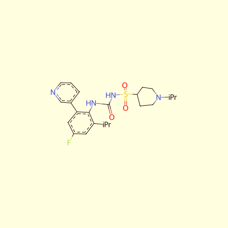 CC(C)c1cc(F)cc(-c2cccnc2)c1NC(=O)NS(=O)(=O)C1CCN(C(C)C)CC1